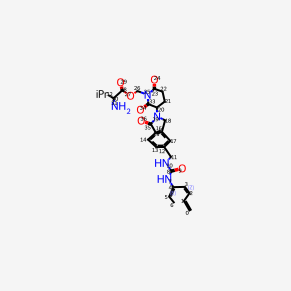 C=C/C=C\C(=C/C)NC(=O)NCc1ccc2c(c1)CN(C1CCC(=O)N(COC(=O)C(N)C(C)C)C1=O)C2=O